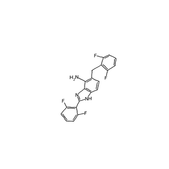 Nc1c(Cc2c(F)cccc2F)ccc2[nH]c(-c3c(F)cccc3F)nc12